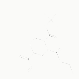 C=C(C=O)C1CCN(C(=O)OC(C)(C)C)C(C(=O)OCC)C1